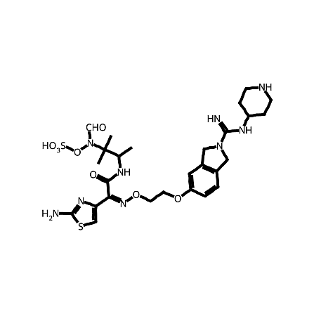 CC(NC(=O)/C(=N\OCCOc1ccc2c(c1)CN(C(=N)NC1CCNCC1)C2)c1csc(N)n1)C(C)(C)N(C=O)OS(=O)(=O)O